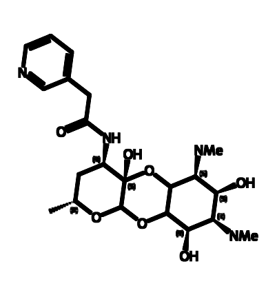 CN[C@@H]1[C@H](O)[C@H](NC)C2O[C@]3(O)C(OC2[C@@H]1O)O[C@H](C)C[C@H]3NC(=O)Cc1cccnc1